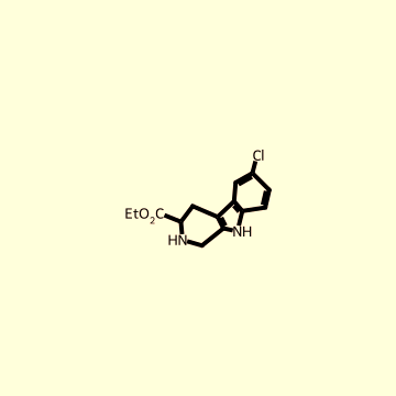 CCOC(=O)C1Cc2c([nH]c3ccc(Cl)cc23)CN1